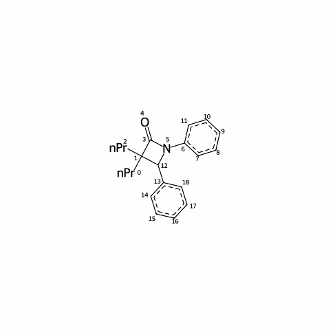 CCCC1(CCC)C(=O)N(c2ccccc2)C1c1ccccc1